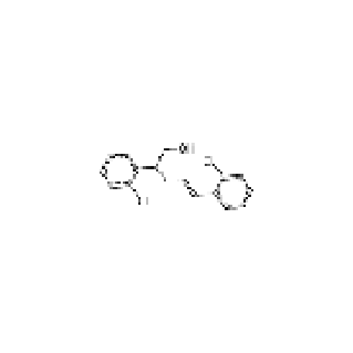 OCC(CC=Cc1ccccc1Cl)c1ccccc1Cl